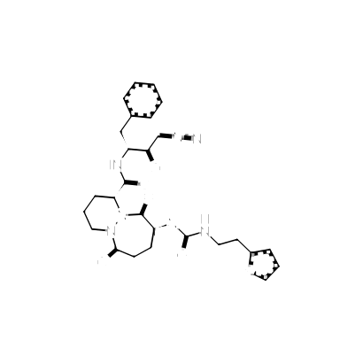 [N-]=[N+]=CC(=O)[C@H](Cc1ccccc1)NC(=O)[C@@H]1CCCN2C(=O)CC[C@H](NC(=O)NCCc3cccs3)C(=O)N12